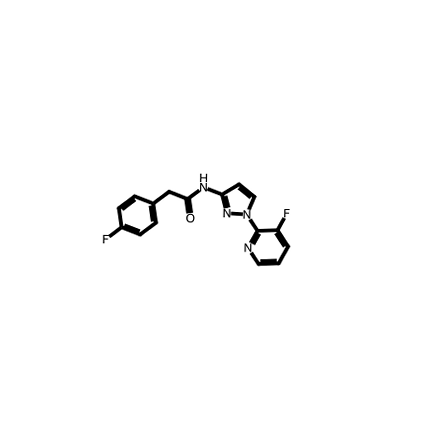 O=C(Cc1ccc(F)cc1)Nc1ccn(-c2ncccc2F)n1